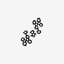 CC1(C)c2c(-n3c4ccccc4c4cc5c(cc43)-c3ccccc3C5(c3ccccc3)c3ccccc3)c(C#N)c(C#N)c(-n3c4ccccc4c4cc5c(cc43)-c3ccccc3C5(c3ccccc3)c3ccccc3)c2C(C)(C)C1(C)C